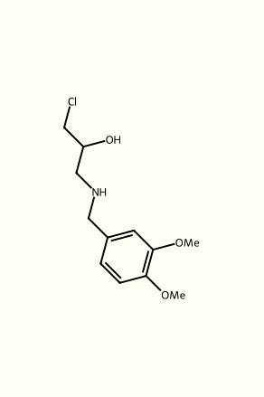 COc1ccc(CNCC(O)CCl)cc1OC